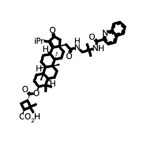 CC(C)C1=C2[C@H]3CC[C@@H]4[C@@]5(C)CC[C@H](OC(=O)[C@H]6C[C@@H](C(=O)O)C6(C)C)C(C)(C)[C@@H]5CC[C@@]4(C)[C@]3(C)CC[C@@]2(CC(=O)NCC(C)(C)NC(=O)c2ccc3ccccc3n2)CC1=O